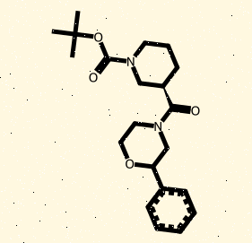 CC(C)(C)OC(=O)N1CCC[C@@H](C(=O)N2CCOC(c3ccccc3)C2)C1